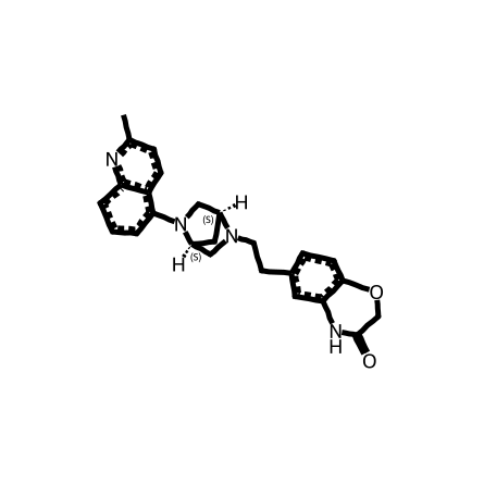 Cc1ccc2c(N3C[C@@H]4C[C@H]3CN4CCc3ccc4c(c3)NC(=O)CO4)cccc2n1